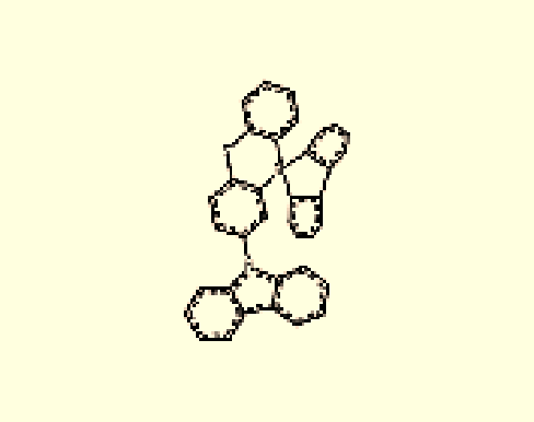 c1ccc2c(c1)Sc1ccc(-n3c4ccccc4c4ccccc43)cc1[Si]21c2ccccc2-c2ccccc21